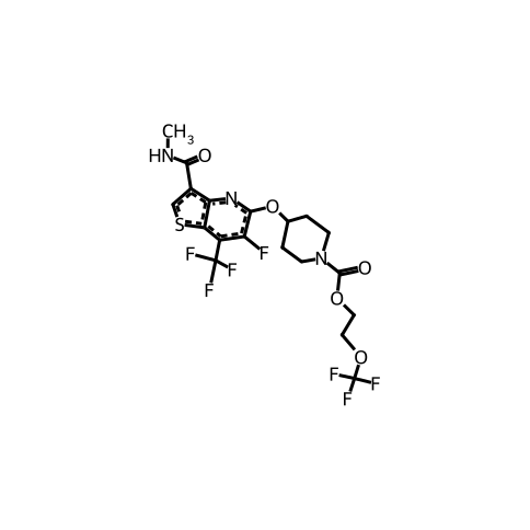 CNC(=O)c1csc2c(C(F)(F)F)c(F)c(OC3CCN(C(=O)OCCOC(F)(F)F)CC3)nc12